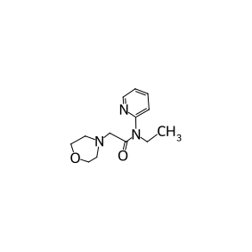 CCN(C(=O)CN1CCOCC1)c1ccccn1